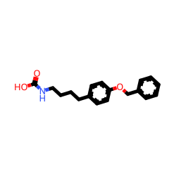 O=C(O)NCCCCc1ccc(OCc2ccccc2)cc1